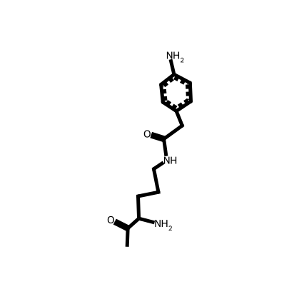 CC(=O)C(N)CCCNC(=O)Cc1ccc(N)cc1